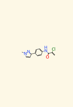 C=C(Cl)C(=O)Nc1ccc(-c2ccn(C)n2)cc1